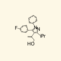 C=C(CO)c1c(C(C)C)nn(-c2ccccc2)c1-c1ccc(F)cc1